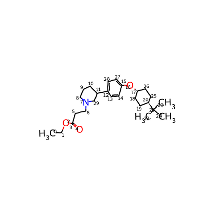 CCOC(=O)CCN1CCCC(c2ccc(O[C@H]3CC[C@H](C(C)(C)C)CC3)cc2)C1